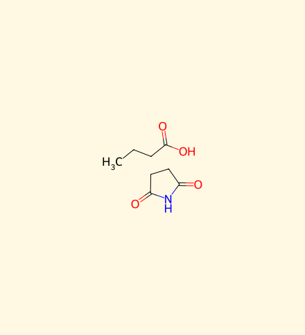 CCCC(=O)O.O=C1CCC(=O)N1